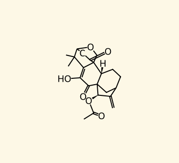 C=C1C2CC[C@H]3C45COC(CC4=O)C(C)(C)C5=C(O)C(=O)C3(C2)[C@@H]1OC(C)=O